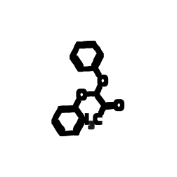 CC(=O)C(Oc1ccccc1)Oc1ccccc1